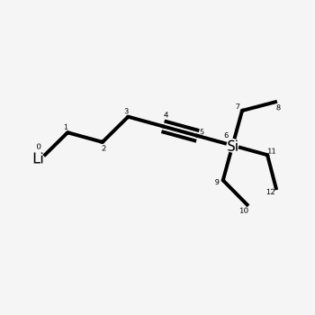 [Li][CH2]CCC#C[Si](CC)(CC)CC